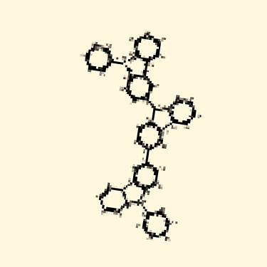 C1=CC2c3cc(-c4ccc5c(c4)-c4ccccc4C5c4ccc5c(c4)c4ccccc4n5-c4ccccc4)ccc3N(c3ccccc3)C2C=C1